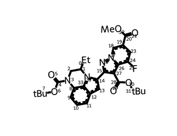 CCC1CN(C(=O)OC(C)(C)C)c2cccc3cc(-c4nn5cc(C(=O)OC)cc(F)c5c4C(=O)OC(C)(C)C)n1c23